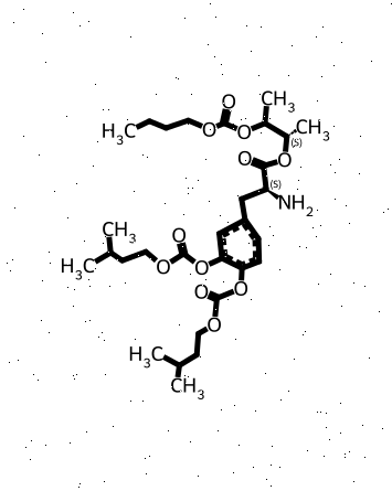 CCCCOC(=O)OC(C)[C@H](C)OC(=O)[C@@H](N)Cc1ccc(OC(=O)OCCC(C)C)c(OC(=O)OCCC(C)C)c1